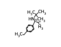 CCc1ccc([C@H](C)NC(C)(C)C)cc1